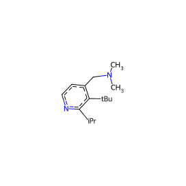 CC(C)c1nccc(CN(C)C)c1C(C)(C)C